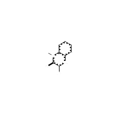 Cn1c(=N)c(Cl)nc2ccccc21